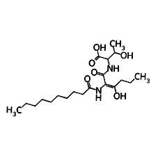 CCCCCCCCCC(=O)NC(C(=O)NC(C(=O)O)C(C)O)=C(O)CCC